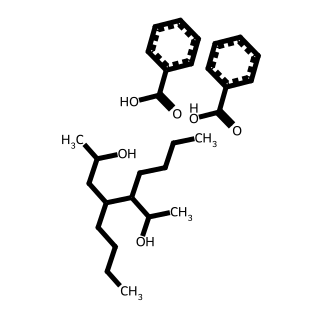 CCCCC(CC(C)O)C(CCCC)C(C)O.O=C(O)c1ccccc1.O=C(O)c1ccccc1